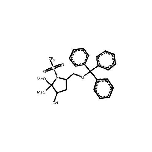 COC1(OC)C(O)CC(COC(c2ccccc2)(c2ccccc2)c2ccccc2)N1S(=O)(=O)C(F)(F)F